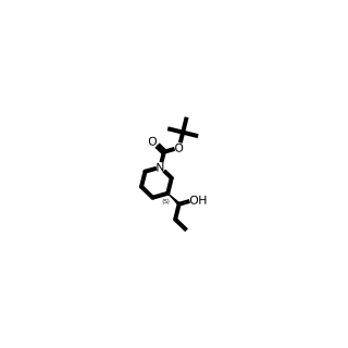 CCC(O)[C@H]1CCCN(C(=O)OC(C)(C)C)C1